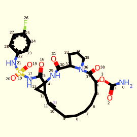 NC(=O)OC1CCCCC/C=C/C2CC2(C(=O)NS(=O)(=O)Nc2ccc(F)cc2)NC(=O)C2CCCN2C1=O